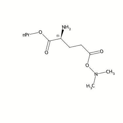 CCCOC(=O)[C@@H](N)CCC(=O)ON(C)C